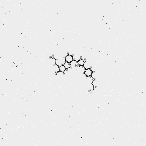 COCOc1ccc(C2NC(c3cccc4c3CC3CC(=O)N(CCO)C43)=NO2)cc1